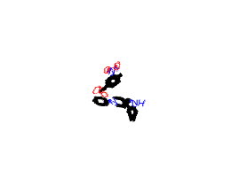 Cc1ccc(C(=O)OC2CCCCC2N2CCC3(CC2)CNc2ccccc23)cc1[N+](=O)[O-]